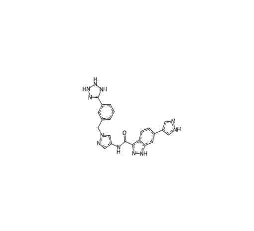 O=C(Nc1cnn(Cc2cccc(C3=NNNN3)c2)c1)c1n[nH]c2cc(-c3cn[nH]c3)ccc12